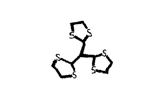 C1CSC(C(C2SCCS2)C2SCCS2)S1